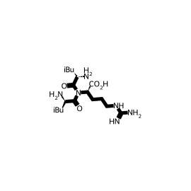 CC[C@H](C)[C@H](N)C(=O)N(C(=O)[C@@H](N)[C@@H](C)CC)[C@@H](CCCNC(=N)N)C(=O)O